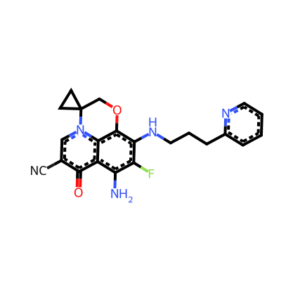 N#Cc1cn2c3c(c(NCCCc4ccccn4)c(F)c(N)c3c1=O)OCC21CC1